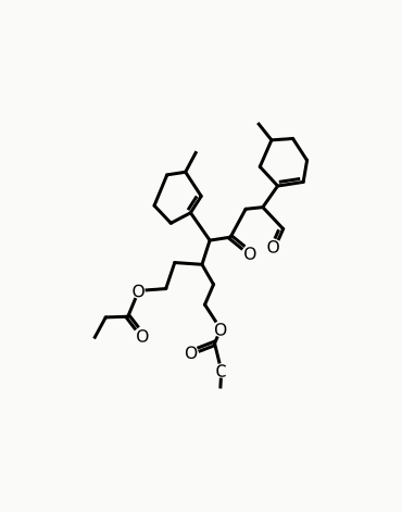 CCC(=O)OCCC(CCOC(=O)CC)C(C(=O)CC(C=O)C1=CCCC(C)C1)C1=CC(C)CCC1